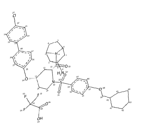 NC1CC2CCC(C1)N2C(=O)[C@H]1C[C@@H](Oc2ccc(-c3ccc(Cl)cc3)cc2)CCN1S(=O)(=O)c1ccc(OCC2CCCCC2)cc1.O=C(O)C(F)(F)F